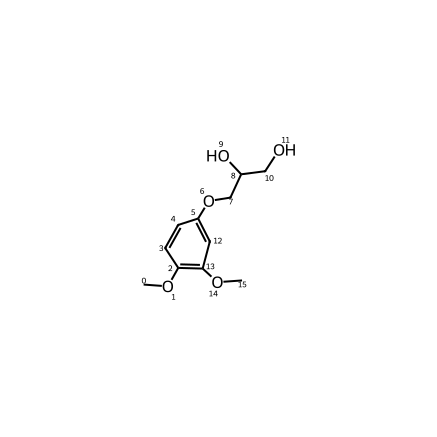 COc1ccc(OCC(O)CO)cc1OC